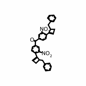 O=C(c1ccc(C2=CCC2Cc2ccccc2)c([N+](=O)[O-])c1)c1ccc(C2=CCC2Cc2ccccc2)c([N+](=O)[O-])c1